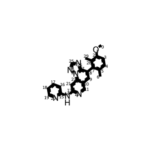 COc1ccc(C)c(-c2cc3cnc(Nc4ccccn4)cc3n3ncnc23)c1C